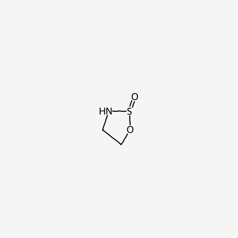 O=S1NCCO1